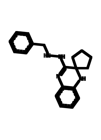 c1ccc(CNNC2=Nc3ccccc3NC23CCCC3)cc1